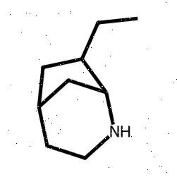 CCC1CC2CCNC1C2